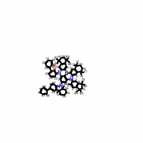 Cc1cc2c(cc1N1c3cc4c(cc3B3c5cc6c(cc5N(c5cccc7c5oc5ccccc57)c5cc(N7c8ccc(-c9ccccc9)cc8C8(C)CCCCC78C)cc1c53)C(C)(C)CCC6(C)C)C(C)(C)CCC4(C)C)C(C)(C)CC2(C)C